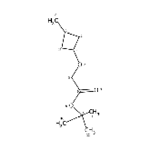 CC1CC(OCC(=O)OC(C)(C)C)C1